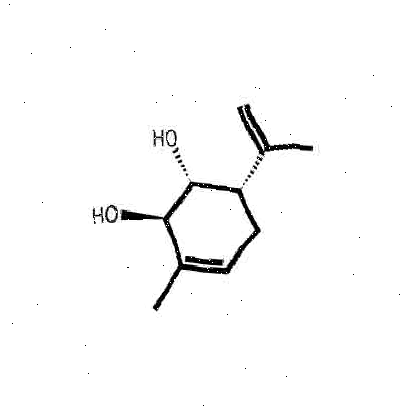 C=C(C)[C@@H]1CC=C(C)[C@@H](O)[C@@H]1O